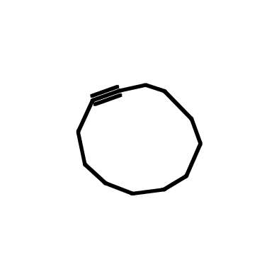 C1#CCCCCCCCCCC1